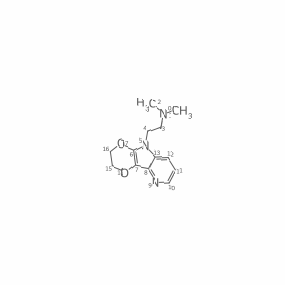 CN(C)CCn1c2c(c3ncccc31)OCCO2